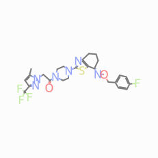 Cc1cc(C(F)(F)F)nn1CC(=O)N1CCN(c2nc3c(s2)C(=NOCc2ccc(F)cc2)CCC3)CC1